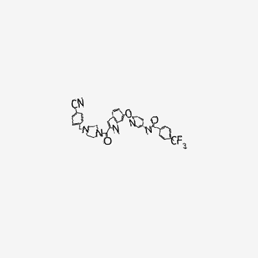 CN(C(=O)c1ccc(C(F)(F)F)cc1)c1ccc(Oc2ccc3cc(C(=O)N4CCN(Cc5ccc(C#N)cc5)CC4)n(C)c3c2)nc1